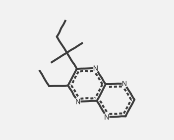 CCc1nc2nccnc2nc1C(C)(C)CC